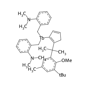 COc1c(C(C)(C)C)cc(C)cc1C(C)(C)C1=[C]([Tb]([CH2]c2ccccc2N(C)C)[CH2]c2ccccc2N(C)C)C=CC1